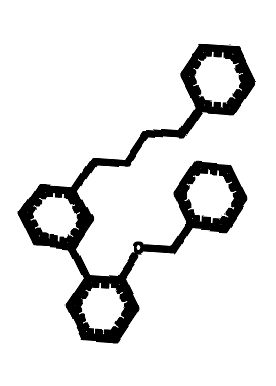 c1ccc(CCCCc2cccc(-c3ccccc3OCc3ccccc3)c2)cc1